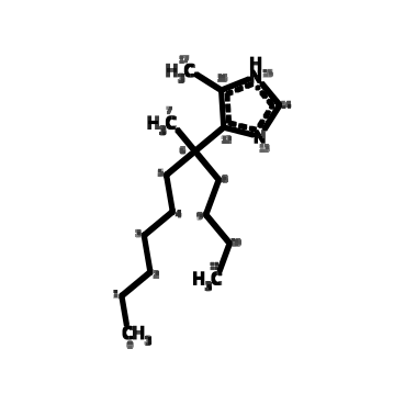 CCCCCCC(C)(CCCC)c1nc[nH]c1C